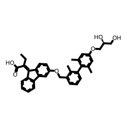 CCC(C(=O)O)=C1c2ccccc2-c2cc(OCc3cccc(-c4c(C)cc(OC[C@@H](O)CO)cc4C)c3C)ccc21